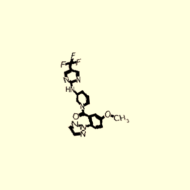 COc1ccc(-n2nccn2)c(C(=O)N2CCCC(Nc3ncc(C(F)(F)F)cn3)C2)c1